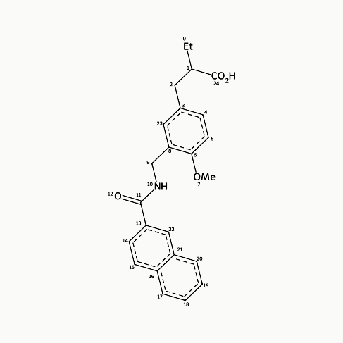 CCC(Cc1ccc(OC)c(CNC(=O)c2ccc3ccccc3c2)c1)C(=O)O